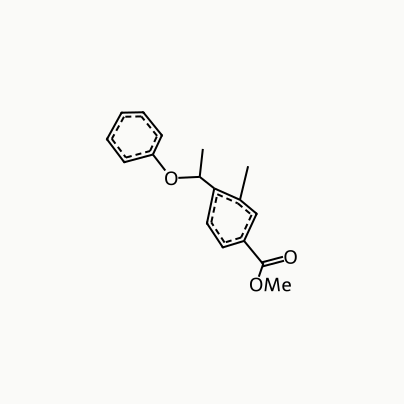 COC(=O)c1ccc(C(C)Oc2ccccc2)c(C)c1